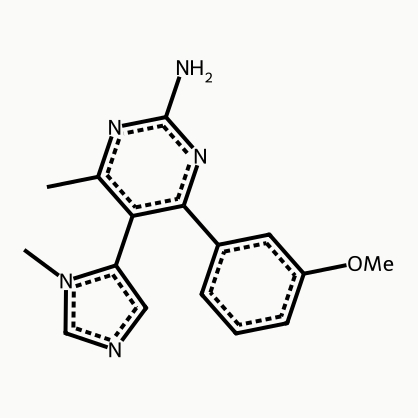 COc1cccc(-c2nc(N)nc(C)c2-c2cncn2C)c1